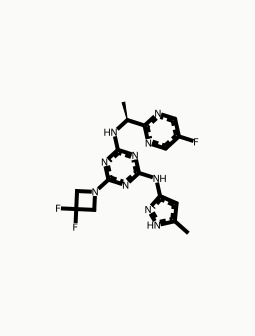 Cc1cc(Nc2nc(N[C@@H](C)c3ncc(F)cn3)nc(N3CC(F)(F)C3)n2)n[nH]1